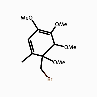 COC1=C(OC)C(OC)C(CBr)(OC)C(C)=C1